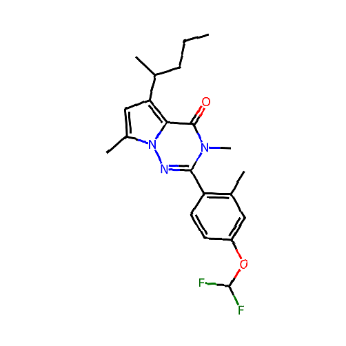 CCCC(C)c1cc(C)n2nc(-c3ccc(OC(F)F)cc3C)n(C)c(=O)c12